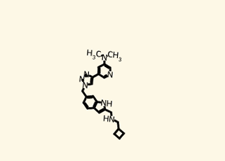 CN(C)c1cncc(-c2cn(Cc3ccc4cc(CNCC5CCC5)[nH]c4c3)nn2)c1